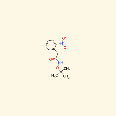 CC(C)(C)ONC(=O)Cc1ccccc1[N+](=O)[O-]